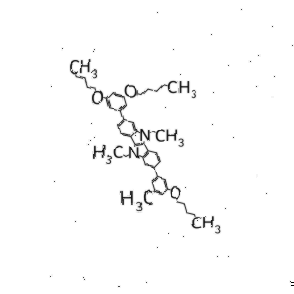 CCCCCOc1cc(C)cc(-c2ccc3c(c2)n(CC)c2c4ccc(-c5cc(OCCCCC)cc(OCCCCC)c5)cc4n(CC)c32)c1